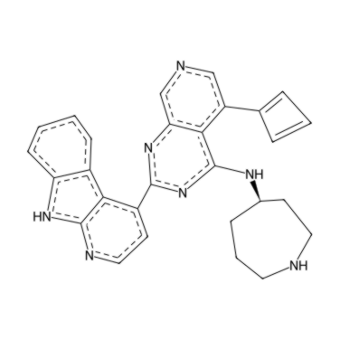 C1=CC(c2cncc3nc(-c4ccnc5[nH]c6ccccc6c45)nc(N[C@@H]4CCCNCC4)c23)=C1